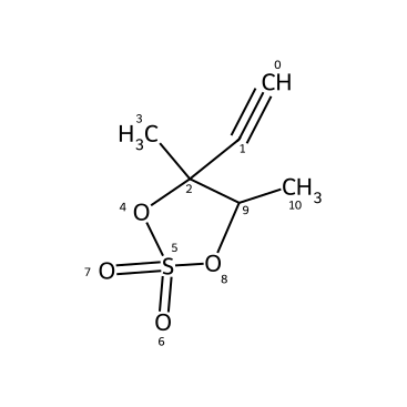 C#CC1(C)OS(=O)(=O)OC1C